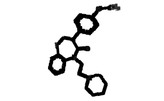 COc1ccc(C2CSc3ccccc3N(CCN3CCCCC3)C2=O)cc1